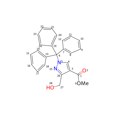 COC(=O)c1cn(C(c2ccccc2)(c2ccccc2)c2ccccc2)nc1CO